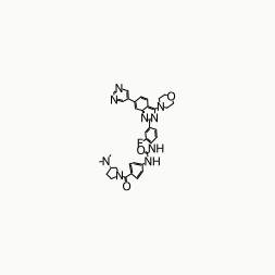 CN(C)[C@H]1CCN(C(=O)c2ccc(NC(=O)Nc3ccc(-c4nc(N5CCOCC5)c5ccc(-c6cncnc6)cc5n4)cc3F)cc2)C1